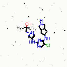 CC(C)(O)Cn1cc(Nc2ncc(Cl)c(NC3CC4CNCC4C3)n2)cn1